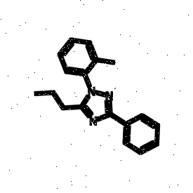 CCCc1nc(-c2ccccc2)nn1-c1ccccc1C